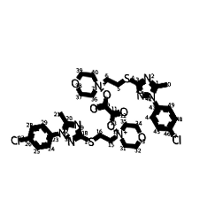 Cc1nc(SCC[N+]2(OC(=O)C(=O)O[N+]3(CCSc4nc(C)n(-c5ccc(Cl)cc5)n4)CCOCC3)CCOCC2)nn1-c1ccc(Cl)cc1